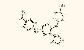 CC(C)(C)c1ccc(Oc2ccc(Nc3ccc(OC(F)(F)F)cc3)cc2C2OCCO2)cc1